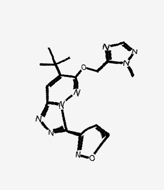 Cn1ncnc1COc1nn2c(-c3ccon3)nnc2cc1C(C)(C)C